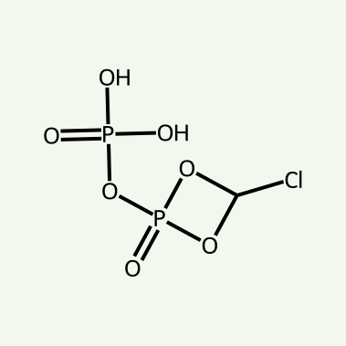 O=P(O)(O)OP1(=O)OC(Cl)O1